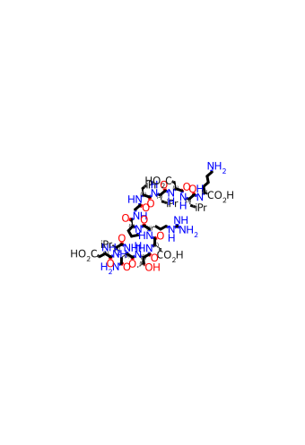 CC(C)C[C@H](NC(=O)CNC(=O)[C@@H]1CCCN1C(=O)[C@H](CCCNC(=N)N)NC(=O)[C@H](CC(=O)O)NC(=O)[C@@H](NC(=O)[C@H](CC(N)=O)NC(=O)[C@@H](NC(=O)[C@@H](N)CC(=O)O)C(C)C)[C@@H](C)O)C(=O)N[C@@H](CC(C)C)C(=O)N[C@@H](CC(=O)O)C(=O)N[C@@H](CC(C)C)C(=O)N[C@@H](CCCCN)C(=O)O